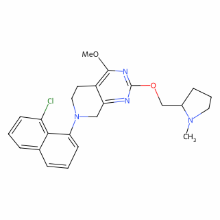 COc1nc(OCC2CCCN2C)nc2c1CCN(c1cccc3cccc(Cl)c13)C2